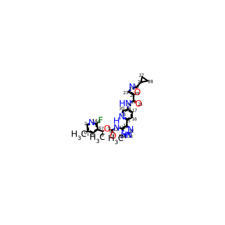 Cc1cnc(F)c([C@@H](C)OC(=O)Nc2c(-c3ccc(NC(=O)c4cnc(C5CC5)o4)cn3)nnn2C)c1